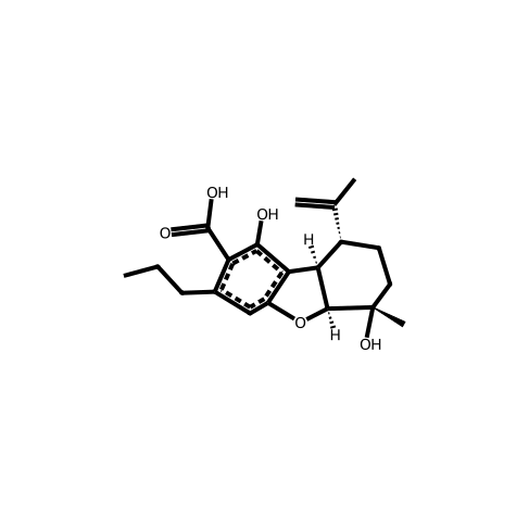 C=C(C)[C@@H]1CC[C@](C)(O)[C@H]2Oc3cc(CCC)c(C(=O)O)c(O)c3[C@@H]12